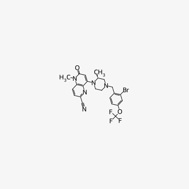 C[C@H]1CN(Cc2ccc(OC(F)(F)F)cc2Br)CCN1c1cc(=O)n(C)c2ccc(C#N)nc12